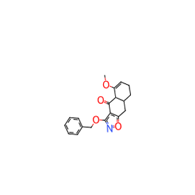 COC1=CCCC2Cc3onc(OCc4ccccc4)c3C(=O)C12